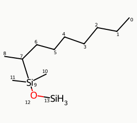 CCCCCCCC(C)[Si](C)(C)O[SiH3]